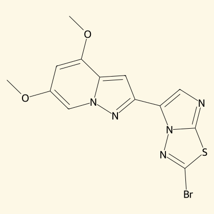 COc1cc(OC)c2cc(-c3cnc4sc(Br)nn34)nn2c1